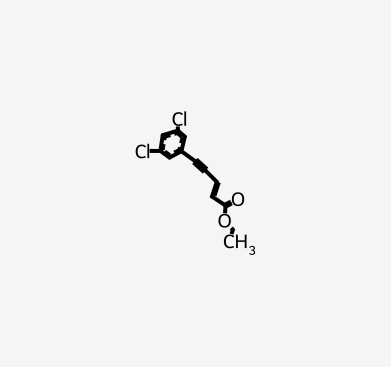 CCOC(=O)C=CC#Cc1cc(Cl)cc(Cl)c1